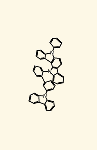 c1ccc(-n2c3ccccc3c3c2ccc2c4ccccc4n(-c4ccccc4-c4cccc(-n5c6ccccc6c6ccccc65)c4)c23)cc1